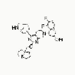 Oc1cc(N2CCc3c(nc(OCC45CCCN4CCC5)nc3N3CCC4CNC(C4)C3)C2)c2c(F)c(F)ccc2c1